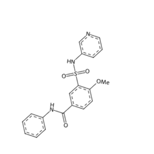 COc1ccc(C(=O)Nc2ccccc2)cc1S(=O)(=O)Nc1cccnc1